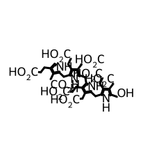 O=C(O)CCc1c[nH]c(Cc2[nH]c(Cc3[nH]c(Cc4[nH]c(CO)c(CC(=O)O)c4CCC(=O)O)c(CC(=O)O)c3CCC(=O)O)c(CC(=O)O)c2CCC(=O)O)c1CC(=O)O